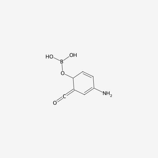 NC1=CC(=C=O)C(OB(O)O)C=C1